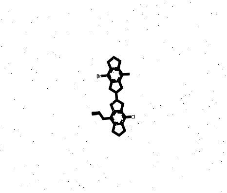 C=CCc1c2c(c(Cl)c3c1CC(C1Cc4c(C)c5c(c(Br)c4C1)CCC5)C3)CCC2